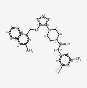 Cc1cc(COc2nsnc2N2CCN(C(=O)Nc3cc(C(F)(F)F)cc(C(F)(F)F)c3)CC2)c2ccccc2n1